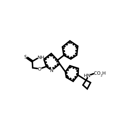 O=C(O)NC1(c2ccc(-c3nc4c(cc3-c3ccccc3)NC(=S)CO4)cc2)CCC1